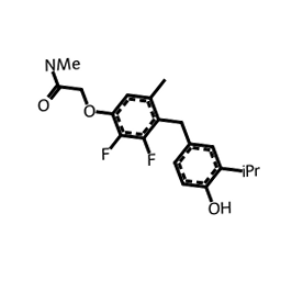 CNC(=O)COc1cc(C)c(Cc2ccc(O)c(C(C)C)c2)c(F)c1F